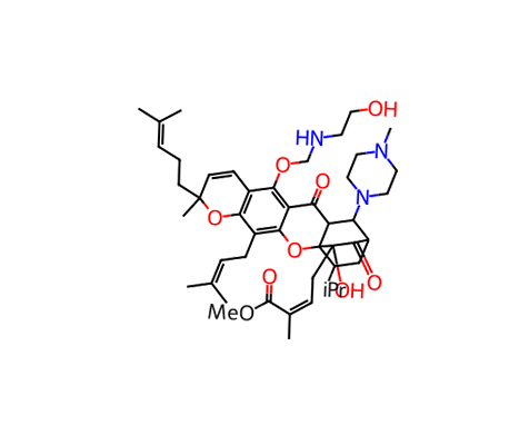 COC(=O)/C(C)=C\CC1(O)C(=O)C2CC(C(C)C)C13Oc1c(CC=C(C)C)c4c(c(OCNCCO)c1C(=O)C3C2N1CCN(C)CC1)C=CC(C)(CCC=C(C)C)O4